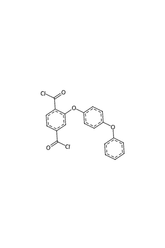 O=C(Cl)c1ccc(C(=O)Cl)c(Oc2ccc(Oc3ccccc3)cc2)c1